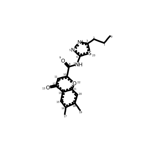 CCCc1nnc(NC(=O)c2cc(=O)c3cc(C)c(C)cc3o2)s1